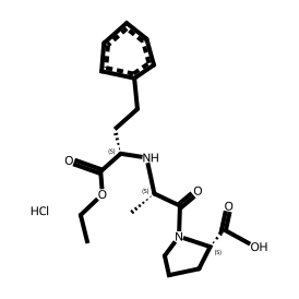 CCOC(=O)[C@H](CCc1ccccc1)N[C@@H](C)C(=O)N1CCC[C@H]1C(=O)O.Cl